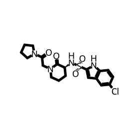 O=C(CN1CCC[C@H](NS(=O)(=O)c2cc3cc(Cl)ccc3[nH]2)C1=O)N1CCCC1